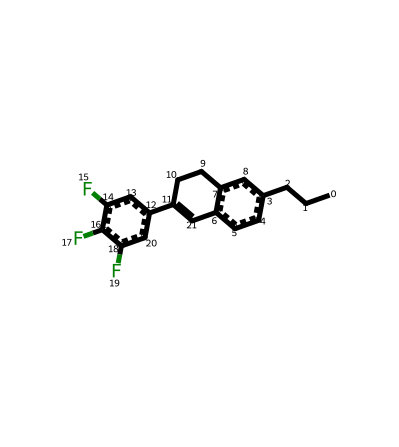 CCCc1ccc2c(c1)CCC(c1cc(F)c(F)c(F)c1)=C2